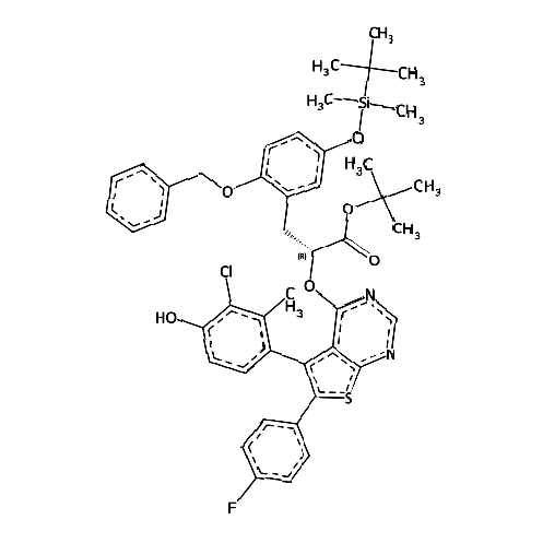 Cc1c(-c2c(-c3ccc(F)cc3)sc3ncnc(O[C@H](Cc4cc(O[Si](C)(C)C(C)(C)C)ccc4OCc4ccccc4)C(=O)OC(C)(C)C)c23)ccc(O)c1Cl